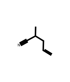 C=CCC(C)C#N